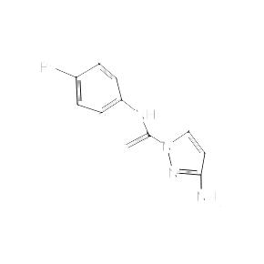 Nc1ccn(C(=S)Nc2ccc(Br)cc2)n1